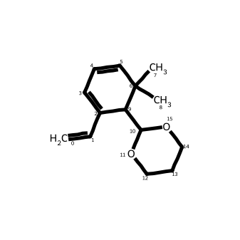 C=CC1=CC=CC(C)(C)C1C1OCCCO1